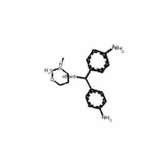 CCCCCC(c1ccc(N)cc1)c1ccc(N)cc1.C[SiH]1CCCO[SiH2]1